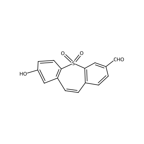 O=Cc1ccc2c(c1)S(=O)(=O)c1ccc(O)cc1C=C2